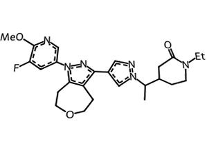 CCN1CCC(C(C)n2cc(-c3nn(-c4cnc(OC)c(F)c4)c4c3CCOCC4)cn2)CC1=O